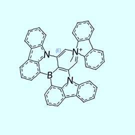 C=CC1=C2B(c3cccc4c5ccccc5n1c34)c1cccc3c4ccccc4n(c13)/C2=C/[N+]1(C)c2ccccc2-c2ccccc21